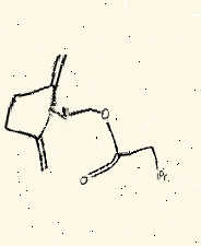 C=C1CCC(=C)N1OC(=O)CC(C)C